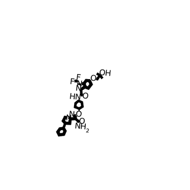 CC(C)(O)COc1ccc2c(C(=O)N[C@H]3CC[C@H](Oc4nn5ccc(-c6ccccc6)cc5c4C(N)=O)CC3)nn(C(F)F)c2c1